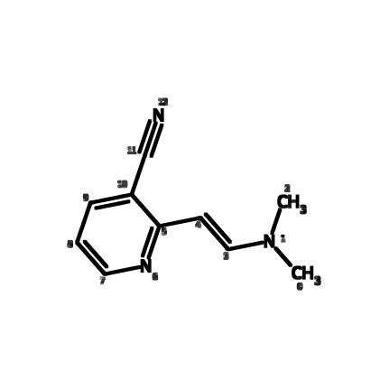 CN(C)C=Cc1ncccc1C#N